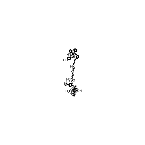 Cc1ncsc1-c1ccc(CNC(=O)[C@@H]2C[C@@H](O)CN2C(=O)[C@@H](NC(=O)C2(F)CC2)C(C)(C)C)c(OCC(=O)NCCOCCOCCC(=O)NCCCCC#Cc2cccc(Cn3c(-c4ccccc4)c(-c4ccccc4)c4c(=N)n(C5CCC(O)CC5)cnc43)c2)c1